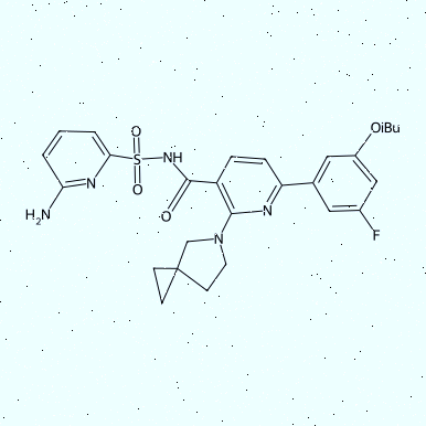 CC(C)COc1cc(F)cc(-c2ccc(C(=O)NS(=O)(=O)c3cccc(N)n3)c(N3CCC4(CC4)C3)n2)c1